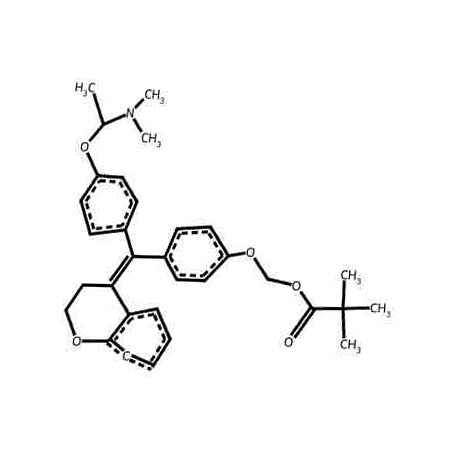 CC(Oc1ccc(C(=C2CCOc3ccccc32)c2ccc(OCOC(=O)C(C)(C)C)cc2)cc1)N(C)C